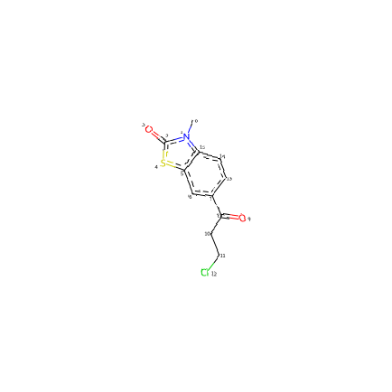 Cn1c(=O)sc2cc(C(=O)CCCl)ccc21